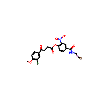 COc1ccc(C(=O)CCC(=O)Oc2ccc(C(=O)NCP=S)cc2[N+](=O)[O-])cc1F